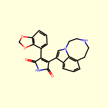 O=C1NC(=O)C(c2cn3c4c(cccc24)CCNCC3)=C1c1cccc2c1OCO2